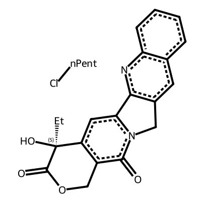 CCCCCCl.CC[C@@]1(O)C(=O)OCc2c1cc1n(c2=O)Cc2cc3ccccc3nc2-1